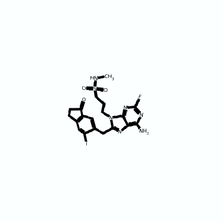 CNS(=O)(=O)CCCn1c(Cc2cc3c(cc2I)CCC3=O)nc2c(N)nc(F)nc21